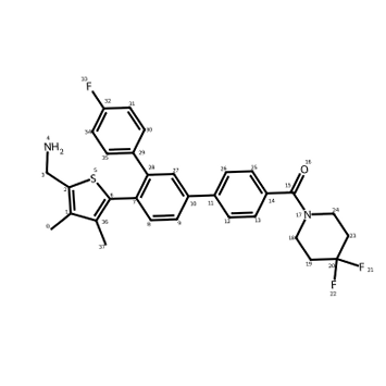 Cc1c(CN)sc(-c2ccc(-c3ccc(C(=O)N4CCC(F)(F)CC4)cc3)cc2-c2ccc(F)cc2)c1C